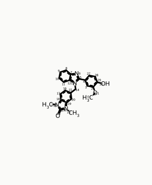 COc1cc(-c2nc3ccccc3n2Cc2ccc3c(c2)n(C)c(=O)n3C)ccc1O